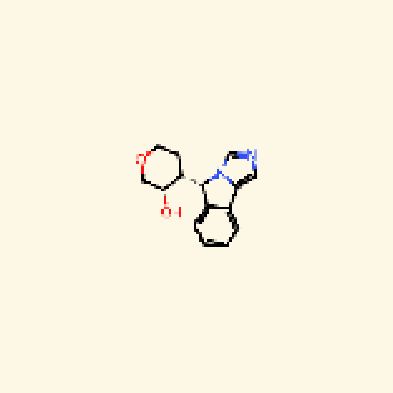 O[C@H]1COCC[C@@H]1C1c2ccccc2-c2cncn21